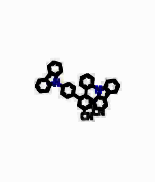 N#Cc1cc(-c2ccc(-n3c4ccccc4c4ccccc43)cc2)c(-c2ccccc2-n2c3ccccc3c3ccccc32)cc1C#N